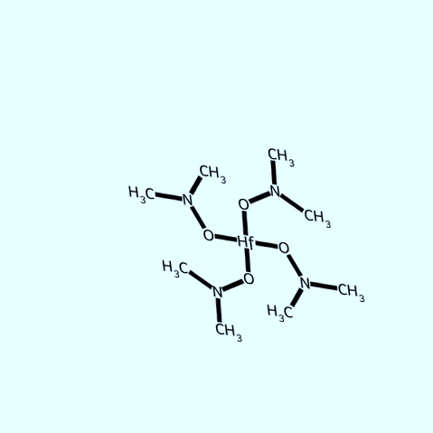 CN(C)[O][Hf]([O]N(C)C)([O]N(C)C)[O]N(C)C